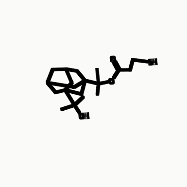 CC(C)(O)C12CC3CC(C1)CC(C(C)(C)OC(=O)CCS)(C3)C2